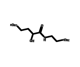 CCCCCCCCCCCCNC(=O)C(O)CCCCCCCCCCCC